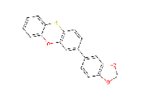 c1ccc2c(c1)Oc1cc(-c3ccc4c(c3)OCO4)ccc1S2